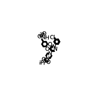 CC(C)S(=O)(=O)N1CCN(c2cnn(-c3cccc(Cl)c3)c(=O)c2OC2CCC(CNS(C)(=O)=O)CC2)CC1